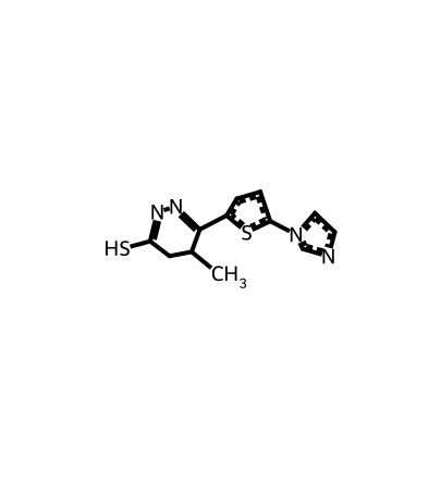 CC1CC(S)=NN=C1c1ccc(-n2ccnc2)s1